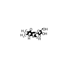 Cc1[nH]c2nc(=S)n([C@@H]3O[C@H](CO)C(O)[C@@H]3O)cc2c(=O)c1C